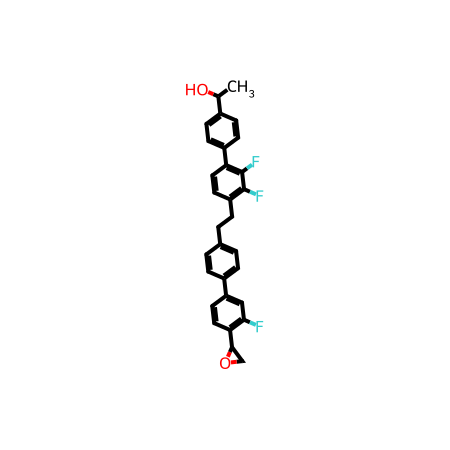 CC(O)c1ccc(-c2ccc(CCc3ccc(-c4ccc(C5CO5)c(F)c4)cc3)c(F)c2F)cc1